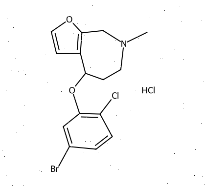 CN1CCC(Oc2cc(Br)ccc2Cl)c2ccoc2C1.Cl